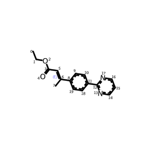 CCOC(=O)/C=C(\C)c1ccc(-c2ncccn2)cc1